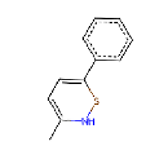 CC1=CC=C(c2ccccc2)SN1